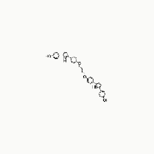 Oc1ccc(-c2ccc(-c3ccc(OCCCCOc4ccc(-c5ccc(-c6ccc(O)cc6)[nH]5)cc4)cc3)[nH]2)cc1